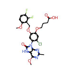 COc1ccc(F)c(F)c1COc1cc(-n2c(=O)[nH]c3c(OC)nc(C)nc32)c(Cl)cc1OCCCC(=O)O